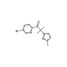 Cc1ccn(C(C)(C)C(=O)c2ccc(Br)cn2)n1